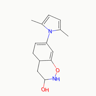 Cc1ccc(C)n1C1=CCC2CC(O)NOC2=C1